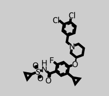 O=C(NS(=O)(=O)C1CC1)c1cc(C2CC2)c(O[C@@H]2CCCN(Cc3ccc(Cl)c(Cl)c3)C2)cc1F